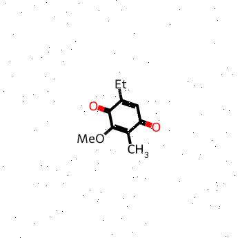 CCC1=CC(=O)C(C)=C(OC)C1=O